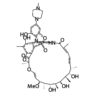 CO[C@H]1/C=C/O[C@@]2(C)Oc3c(C)c(O)c4c(=O)c(c5oc6cc(N7CCN(C)CC7)cc(O)c6nc-5c4c3C2=O)NC(=O)/C(C)=C\C=C\[C@H](C)[C@H](O)[C@@H](C)[C@@H](O)[C@@H](C)[C@H](O)[C@@H]1C